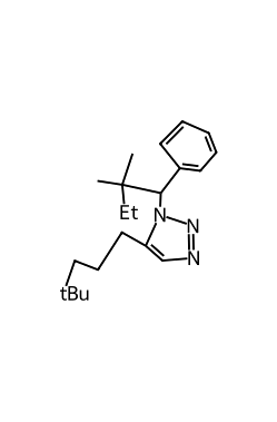 CCC(C)(C)C(c1ccccc1)n1nncc1CCCC(C)(C)C